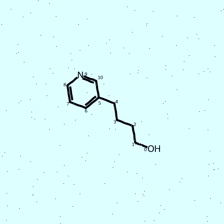 OCCCCc1cccnc1